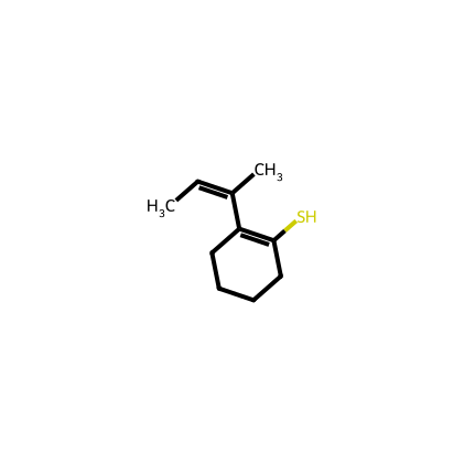 C/C=C(/C)C1=C(S)CCCC1